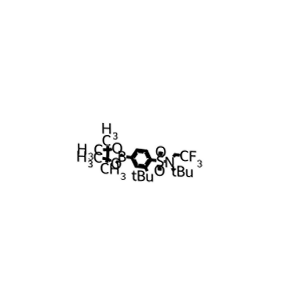 CC(C)(C)c1cc(B2OC(C)(C)C(C)(C)O2)ccc1S(=O)(=O)N(CC(F)(F)F)C(C)(C)C